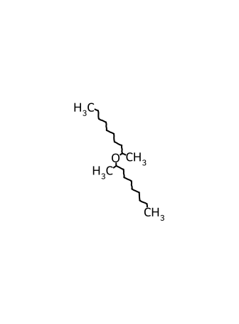 CCCCCCCCC(C)OC(C)CCCCCCCC